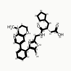 CN1CCOc2cc(-c3ccccc3-c3nc(CNC(=O)[C@@H](CC(=O)O)CC4CCCC4)sc3F)cnc21